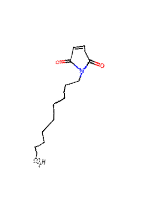 O=C(O)CCCCCCCCN1C(=O)C=CC1=O